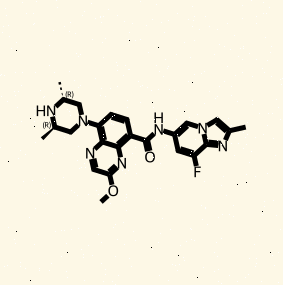 COc1cnc2c(N3C[C@@H](C)N[C@H](C)C3)ccc(C(=O)Nc3cc(F)c4nc(C)cn4c3)c2n1